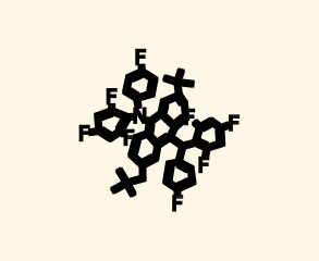 CC(C)(C)Cc1ccc2c(N(c3ccc(F)cc3)c3c(F)cc(F)cc3F)c3cc(C(C)(C)C)ccc3c(C(c3ccc(F)cc3)c3c(F)cc(F)cc3F)c2c1